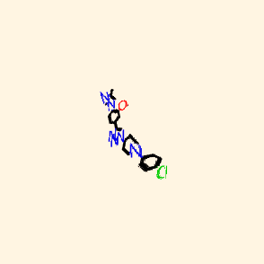 COc1cc(-c2cn(C3CCN(c4ccc(Cl)cc4)CC3)nn2)ccc1-n1cnc(C)c1